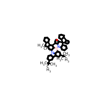 CC(C)(C)c1ccc2c(c1)c1cc(C(C)(C)C)cc3c1n2-c1cc2c(c4c1B3N1c3ccccc3C3(c5ccccc5-c5ccccc53)c3cccc-4c31)-c1ccccc1C2(C)C